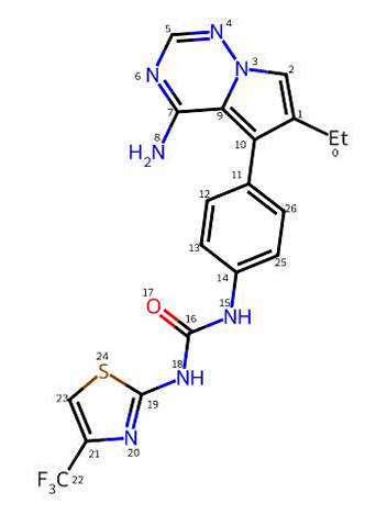 [CH2]Cc1cn2ncnc(N)c2c1-c1ccc(NC(=O)Nc2nc(C(F)(F)F)cs2)cc1